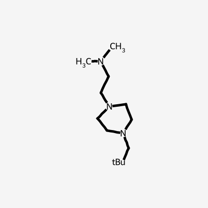 CN(C)CCN1CCN(CC(C)(C)C)CC1